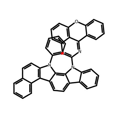 c1ccc(-n2c3ccc4ccccc4c3c3ccc4c5ccccc5n(-c5nc6c7c(cccc7n5)Oc5ccccc5-6)c4c32)cc1